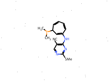 CSc1ncc(C#N)c(NC2=CC(P(C)C)C=CC=C2)n1